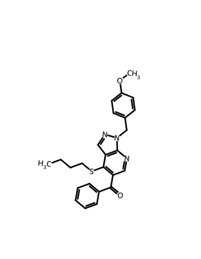 CCCCSc1c(C(=O)c2ccccc2)cnc2c1cnn2Cc1ccc(OC)cc1